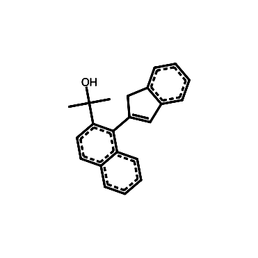 CC(C)(O)c1ccc2ccccc2c1C1=Cc2ccccc2C1